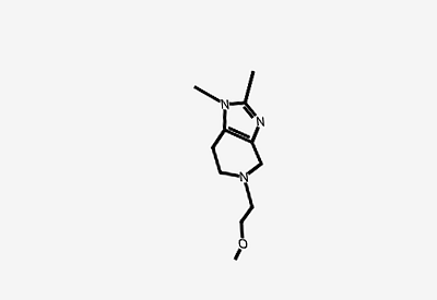 COCCN1CCc2c(nc(C)n2C)C1